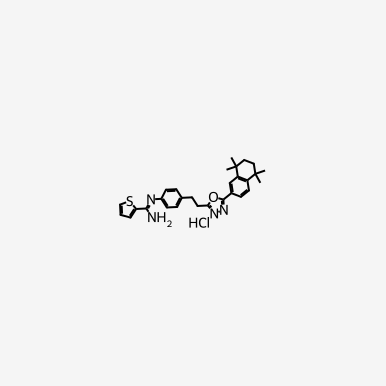 CC1(C)CCC(C)(C)c2cc(-c3nnc(CCc4ccc(/N=C(\N)c5cccs5)cc4)o3)ccc21.Cl